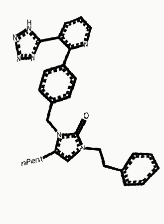 CCCCCc1cn(CCc2ccccc2)c(=O)n1Cc1ccc(-c2ncccc2-c2nnn[nH]2)cc1